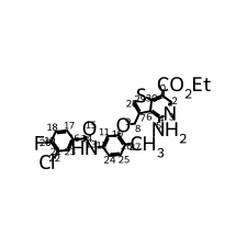 CCOC(=O)c1cnc(N)c2c(COc3cc(NC(=O)c4ccc(F)c(Cl)c4)ccc3C)csc12